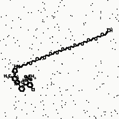 C#CCOCCOCCOCCOCCOCCOCCOCCOCCOCCOCCOCCOCCCCN[C@H]1CCN(c2nc3cc([C@@H]4CCCCN4C(=O)c4cc(Cl)ccc4NS(C)(=O)=O)nn3cc2C)C1